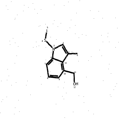 Cc1cn(SI)c2cccc(CO)c12